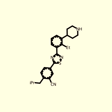 CCc1c(-c2nsc(-c3ccc(CC(C)C)c(C#N)c3)n2)cccc1C1CCNCC1